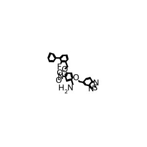 NCc1cc([N+](=O)[O-])c(OCc2cccc(-c3ccccc3)c2F)cc1OCc1ccc2nsnc2c1